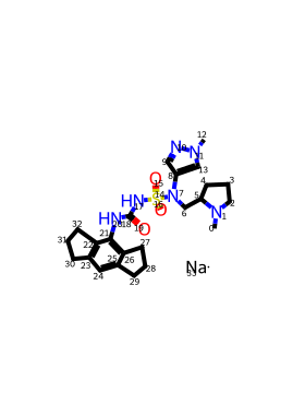 CN1CCCC1CN(c1cnn(C)c1)S(=O)(=O)NC(=O)Nc1c2c(cc3c1CCC3)CCC2.[Na]